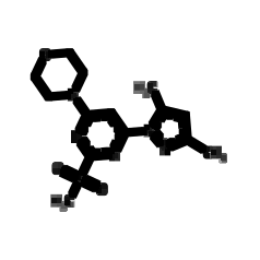 Cc1cc(C)n(-c2cc(N3CCOCC3)nc(S(C)(=O)=O)n2)n1